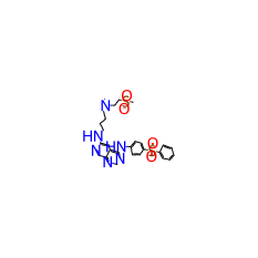 CN(CCCCNc1cc2c(Nc3ccc(S(=O)(=O)c4ccccc4)cc3)ncnc2cn1)CCS(C)(=O)=O